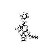 COC(=O)[C@@H]1C2=C(CC2)CN1C(=O)[C@@H]1CCCN1C(=O)OCc1ccccc1